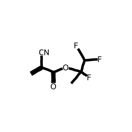 C=C(C#N)C(=O)OC(C)(F)C(F)F